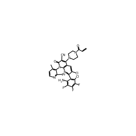 C=CC(=O)N1CCN(c2c(C#N)c(=O)n(-c3c(C)ccnc3C(C)C)c3nc(-c4c(N)c(F)c(F)c(F)c4Cl)c(Cl)cc23)CC1